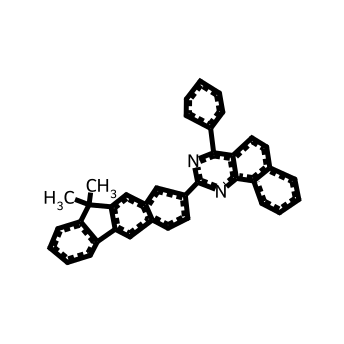 CC1(C)c2ccccc2-c2cc3ccc(-c4nc(-c5ccccc5)c5ccc6ccccc6c5n4)cc3cc21